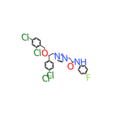 O=C(Cn1cc[n+](CC(OCc2ccc(Cl)cc2Cl)c2ccc(Cl)cc2)c1)Nc1ccc(F)cc1.[Cl-]